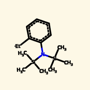 C[CH]c1ccccc1N([Si](C)(C)C)[Si](C)(C)C